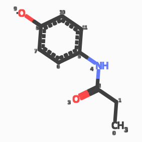 CCC(=O)Nc1ccc([O])cc1